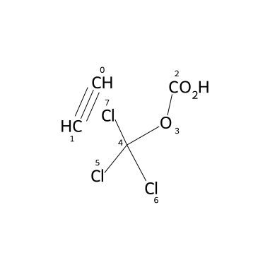 C#C.O=C(O)OC(Cl)(Cl)Cl